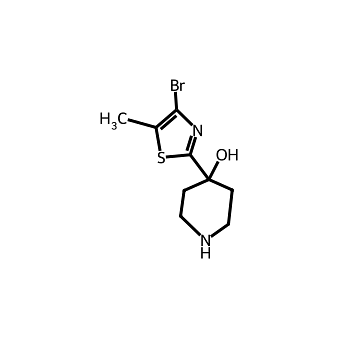 Cc1sc(C2(O)CCNCC2)nc1Br